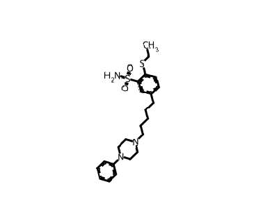 CCSc1ccc(CCCCCN2CCN(c3ccccc3)CC2)cc1S(N)(=O)=O